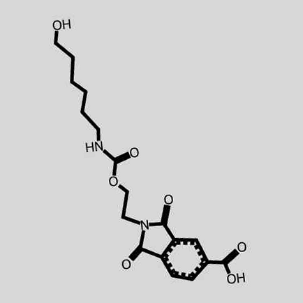 O=C(NCCCCCCO)OCCN1C(=O)c2ccc(C(=O)O)cc2C1=O